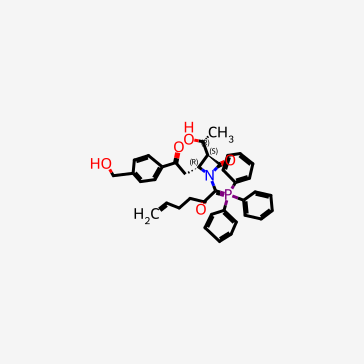 C=CCCC(=O)C(N1C(=O)[C@H]([C@@H](C)O)[C@H]1CC(=O)c1ccc(CO)cc1)=P(c1ccccc1)(c1ccccc1)c1ccccc1